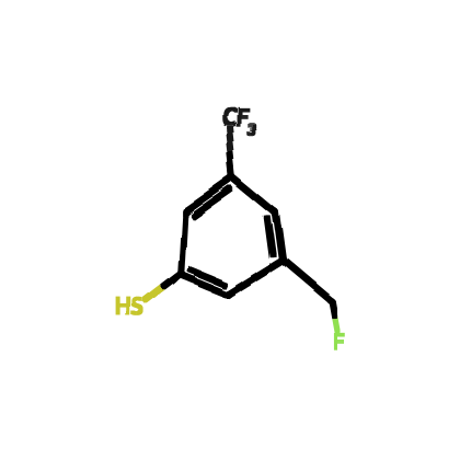 FCc1cc(S)cc(C(F)(F)F)c1